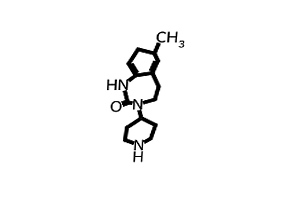 CC1C=C2CCN(C3CCNCC3)C(=O)NC2=CC1